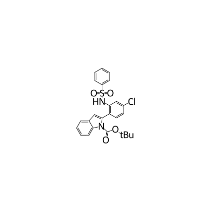 CC(C)(C)OC(=O)n1c(-c2ccc(Cl)cc2NS(=O)(=O)c2ccccc2)cc2ccccc21